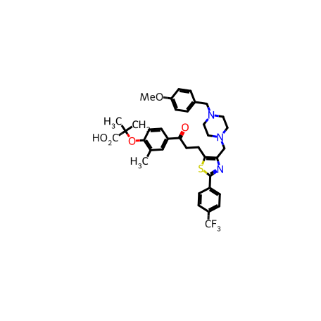 COc1ccc(CN2CCN(Cc3nc(-c4ccc(C(F)(F)F)cc4)sc3CCC(=O)c3ccc(OC(C)(C)C(=O)O)c(C)c3)CC2)cc1